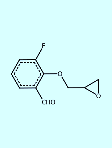 O=Cc1cccc(F)c1OCC1CO1